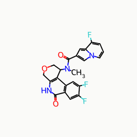 CN(C(=O)c1cc2c(F)cccn2c1)C1COCc2[nH]c(=O)c3cc(F)c(F)cc3c21